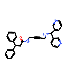 O=C(CC(c1ccccc1)c1ccccc1)NCC#CCNC(c1cccnc1)c1cccnc1